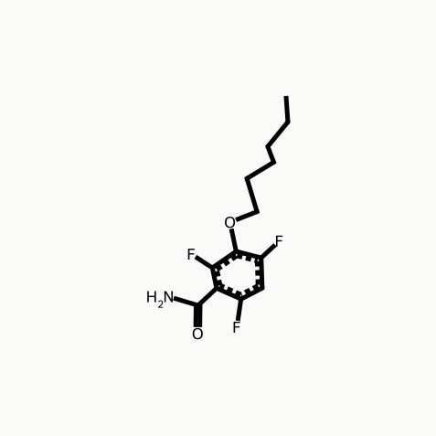 CCCCCCOc1c(F)cc(F)c(C(N)=O)c1F